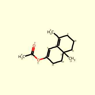 CC(=O)OC1=CC2=C(C)CCCC2(C)CC1